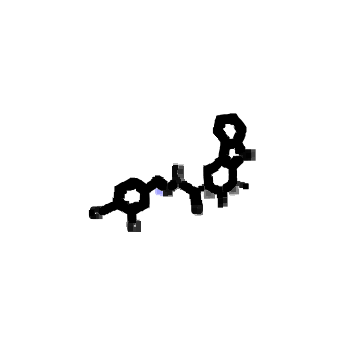 C[C@@H]1N[C@H](C(=O)N/N=C/c2ccc(Cl)c(Cl)c2)Cc2c1[nH]c1ccccc21